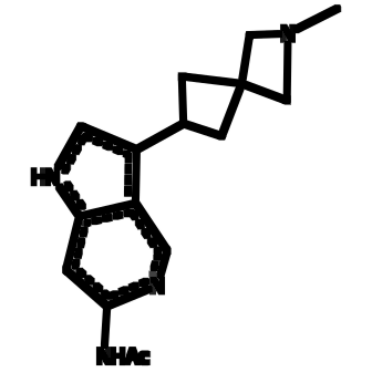 CC(=O)Nc1cc2[nH]cc(C3CC4(C3)CN(C)C4)c2cn1